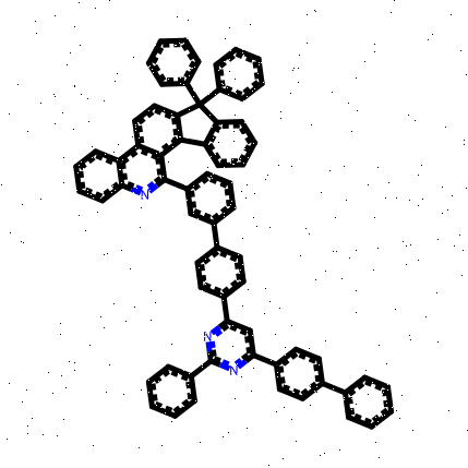 c1ccc(-c2ccc(-c3cc(-c4ccc(-c5cccc(-c6nc7ccccc7c7ccc8c(c67)-c6ccccc6C8(c6ccccc6)c6ccccc6)c5)cc4)nc(-c4ccccc4)n3)cc2)cc1